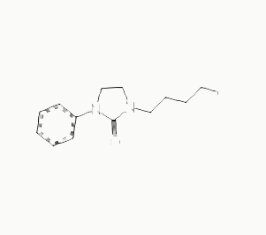 O=C1N(CCCCCl)CCN1c1ccccc1